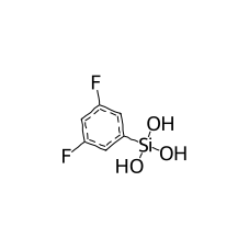 O[Si](O)(O)c1cc(F)cc(F)c1